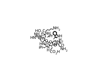 CC(C)C[C@H](NC(=O)[C@H](CCCNC(=N)N)NC(=O)[C@H](CC(C)C)NC(=O)[C@H](CCC(=O)O)NC(=O)[C@H](Cc1c[nH]c2ccccc12)NC(=O)[C@@H](N)CC(N)=O)C(=O)N[C@@H](CCCCN)C(=O)O